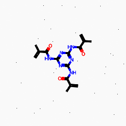 C=C(C)C(=O)Nc1nc(NC(=O)C(=C)C)nc(NC(=O)C(=C)C)n1